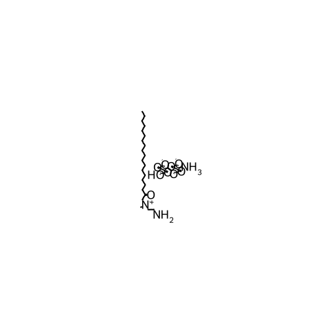 CCCCCCCCCCCCCCCCCC(=O)C[N+](C)(C)CCN.COS(=O)(=O)O.COS(=O)(=O)[O-].N